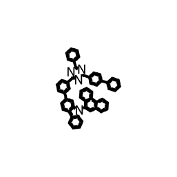 c1ccc(-c2ccc(-c3nc(-c4ccccc4)nc(-c4cccc(-c5ccc6c7ccccc7n(-c7cc8ccccc8c8ccccc78)c6c5)c4)n3)cc2)cc1